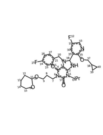 CC(C)n1c2c(c(=O)n(CCCOC3CCCCO3)c1=O)N(Cc1ccc(F)cc1)C(c1cc(F)cnc1OCC1CC1)N2